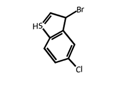 Clc1ccc2c(c1)C(Br)C=[SH]2